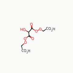 O=C(O)COOC(=O)C(O)C(=O)OOCC(=O)O